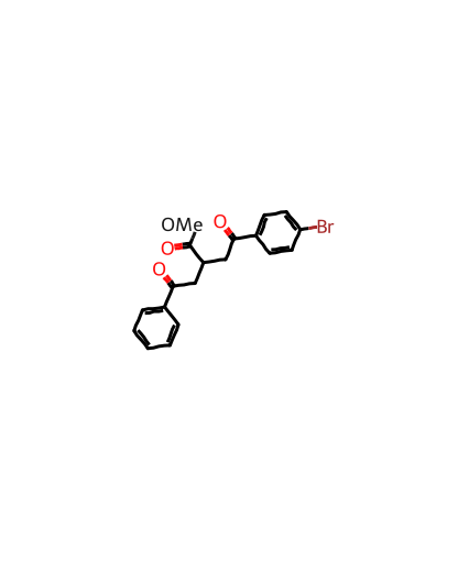 COC(=O)C(CC(=O)c1ccccc1)CC(=O)c1ccc(Br)cc1